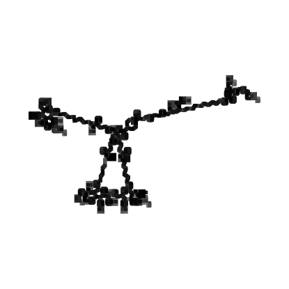 CC=C=COC(C)O[PH](=O)OCCCCCCCCCC/C(=C/NCOCCOCCC(=O)N1CCC(C(=O)NC(COCCC(=O)NCCCCCCCCOC2OC(CO)C(O)C(O)C2NC(C)=O)(COCCC(=O)NCCCCCCOC2OC(CO)C(O)C(O)C2NC(C)=O)COCCC(=O)NCCCCCCOC2OC(CO)C(O)C(O)C2NC(C)=O)CC1)N=N